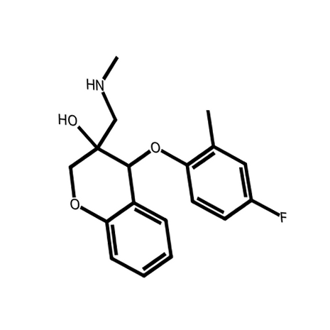 CNCC1(O)COc2ccccc2C1Oc1ccc(F)cc1C